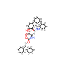 O=C(CC(NC(=O)OCC1c2ccccc2-c2ccccc21)C(=O)O)NC(c1ccccc1)(c1ccccc1)c1ccccc1